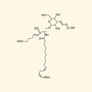 CCCCCCCCCC/C=C\C/C=C\CCCCCCCCC(=O)N[C@@H](COC1OC(CO)C(O)C(OSOOO)C1O)[C@H](O)/C=C/CCCCCCCCCCCCC